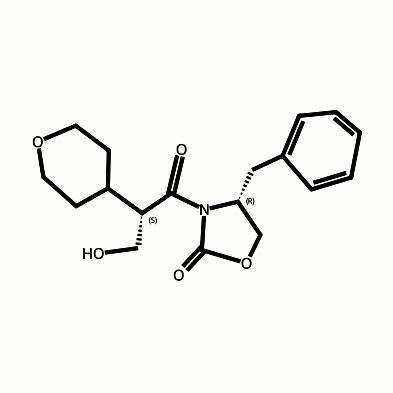 O=C1OC[C@@H](Cc2ccccc2)N1C(=O)[C@H](CO)C1CCOCC1